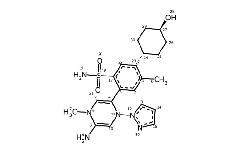 Cc1cc(C2=CN(C)C(N)=CN2n2cccn2)c(S(N)(=O)=O)cc1[C@H]1CC[C@H](O)CC1